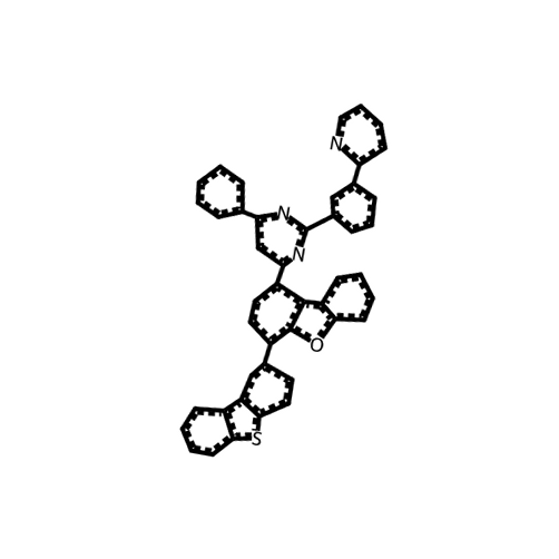 c1ccc(-c2cc(-c3ccc(-c4ccc5sc6ccccc6c5c4)c4oc5ccccc5c34)nc(-c3cccc(-c4ccccn4)c3)n2)cc1